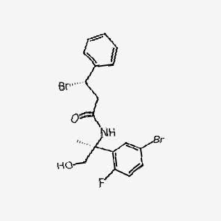 C[C@](CO)(NC(=O)C[C@H](Br)c1ccccc1)c1cc(Br)ccc1F